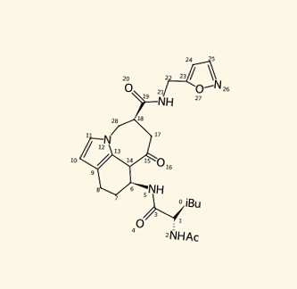 CC[C@H](C)[C@H](NC(C)=O)C(=O)N[C@H]1CCc2ccn3c2C1C(=O)C[C@H](C(=O)NCc1ccno1)C3